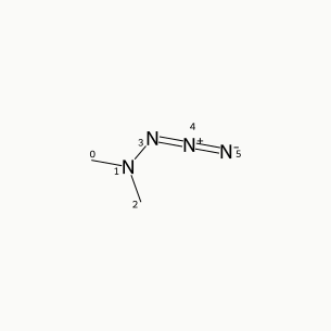 CN(C)N=[N+]=[N-]